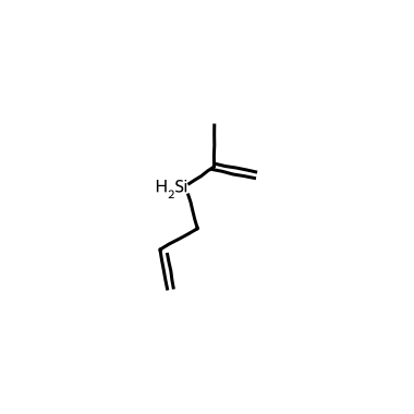 C=CC[SiH2]C(=C)C